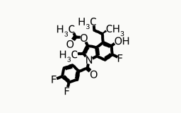 CC[C@@H](C)c1c(O)c(F)cc2c1c(OC(C)=O)c(C)n2C(=O)c1ccc(F)c(F)c1